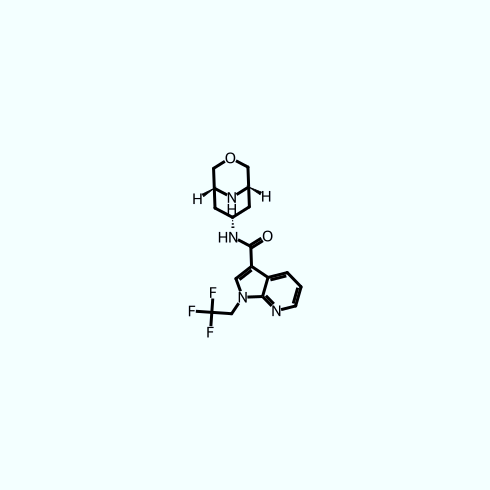 O=C(N[C@H]1C[C@H]2COC[C@@H](C1)N2)c1cn(CC(F)(F)F)c2ncccc12